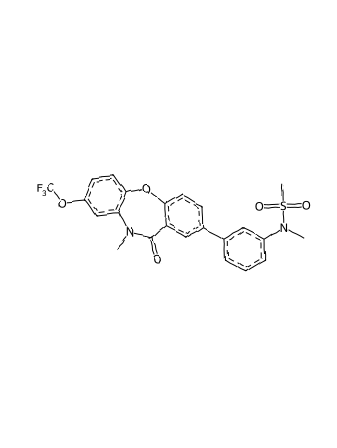 CN1C(=O)c2cc(-c3cccc(N(C)S(C)(=O)=O)c3)ccc2Oc2ccc(OC(F)(F)F)cc21